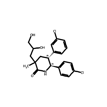 CC1(CC(O)CO)C[C@H](c2cccc(Cl)c2)[C@@H](c2ccc(Cl)cc2)NC1=O